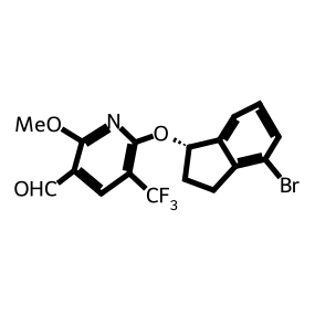 COc1nc(O[C@H]2CCc3c(Br)cccc32)c(C(F)(F)F)cc1C=O